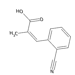 CC(=Cc1ccccc1C#N)C(=O)O